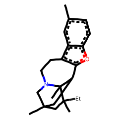 CCC1(C)CC2(C)CC3c4oc5ccc(C)cc5c4CCN(C2)C31C